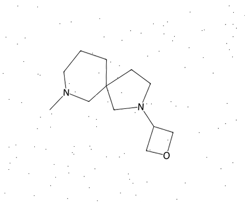 CN1CCCC2(CCN(C3COC3)C2)C1